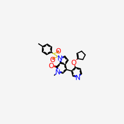 Cc1ccc(S(=O)(=O)n2ccc3c(-c4cnccc4OC4=CCCC4)cn(C)c(=O)c32)cc1